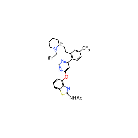 CC(=O)Nc1nc2c(Oc3cc(-c4ccc(C(F)(F)F)cc4CC[C@H]4CCCCN4CC(C)C)ncn3)cccc2s1